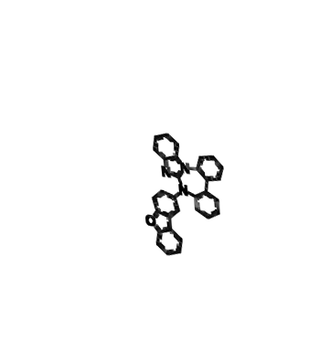 c1ccc2c(c1)-c1ccccc1-n1c(nc3ccccc31)N2c1ccc2oc3ccccc3c2c1